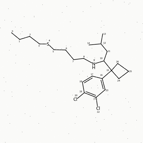 CCCCSCCCCNC(CC(C)C)C1(c2ccc(Cl)c(Cl)c2)CCC1